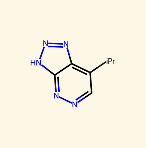 CC(C)c1cnnc2[nH]nnc12